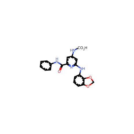 O=C(O)Nc1cc(Nc2cccc3c2OCO3)nc(C(=O)Nc2ccccc2)c1